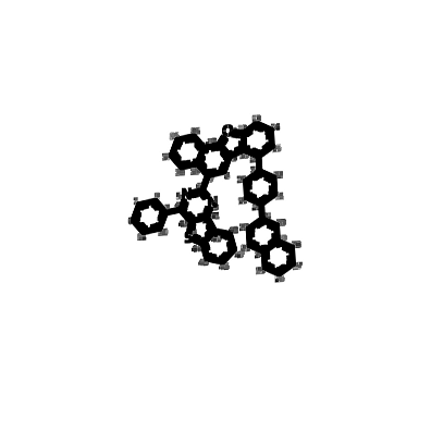 c1ccc(-c2nc(-c3cc4c(oc5cccc(-c6ccc(-c7ccc8ccccc8c7)cc6)c54)c4ccccc34)nc3c2sc2ccccc23)cc1